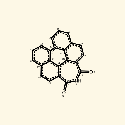 O=c1[nH]c(=O)c2ccc3cccc4c5cccc6ccc1c(c65)c2c34